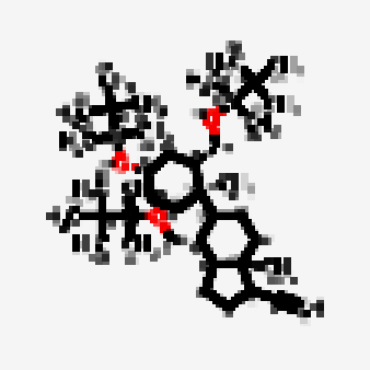 C#CC1CCC2[C@H](CO[Si](C)(C)C(C)(C)C)C([C@@]3(C)CC[C@H](O[Si](C)(C)C(C)(C)C)C[C@@H]3CO[Si](C)(C)C(C)(C)C)CC[C@]12C